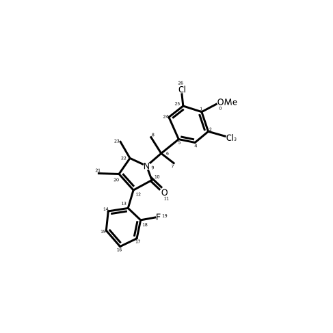 COc1c(Cl)cc(C(C)(C)N2C(=O)C(c3ccccc3F)=C(C)C2C)cc1Cl